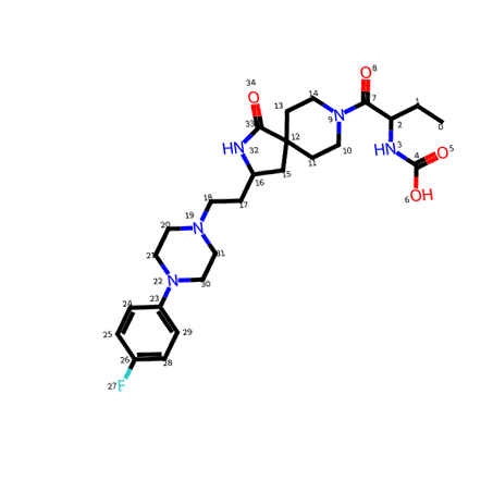 CCC(NC(=O)O)C(=O)N1CCC2(CC1)CC(CCN1CCN(c3ccc(F)cc3)CC1)NC2=O